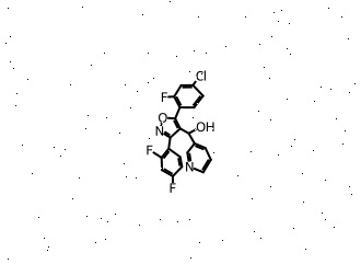 OC(c1cccnc1)c1c(-c2ccc(F)cc2F)noc1-c1ccc(Cl)cc1F